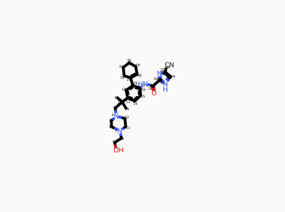 CC(C)(CN1CCN(CCO)CC1)c1ccc(NC(=O)c2nc(C#N)c[nH]2)c(C2=CCCCC2)c1